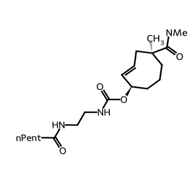 CCCCCC(=O)NCCNC(=O)O[C@H]1/C=C/C[C@@](C)(C(=O)NC)CCC1